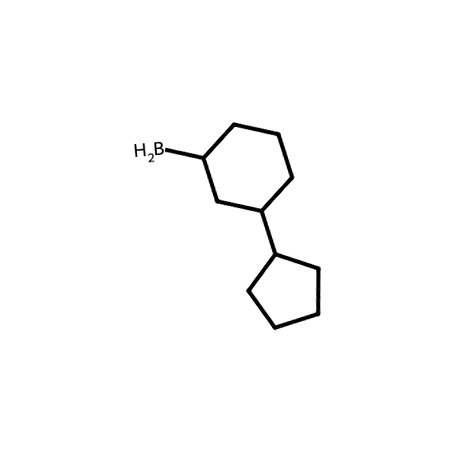 BC1CCCC(C2CCCC2)C1